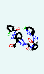 CC(=O)c1nn(CC(=O)N2[C@@H]3CC[C@@H](C3)[C@H]2C(=O)Nc2cccc(Cl)n2)c2ccc(NC(=O)c3ccccc3Cl)cc12